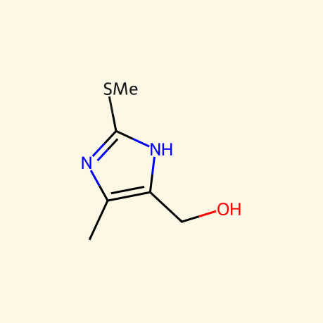 CSc1nc(C)c(CO)[nH]1